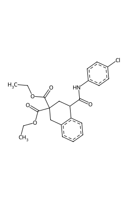 CCOC(=O)C1(C(=O)OCC)Cc2ccccc2C(C(=O)Nc2ccc(Cl)cc2)C1